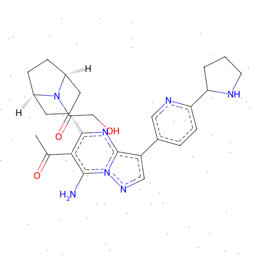 CC(=O)c1c([C@@H]2C[C@H]3CC[C@@H](C2)N3C(=O)CO)nc2c(-c3ccc(C4CCCN4)nc3)cnn2c1N